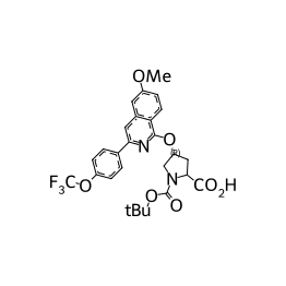 COc1ccc2c(O[C@@H]3CC(C(=O)O)N(C(=O)OC(C)(C)C)C3)nc(-c3ccc(OC(F)(F)F)cc3)cc2c1